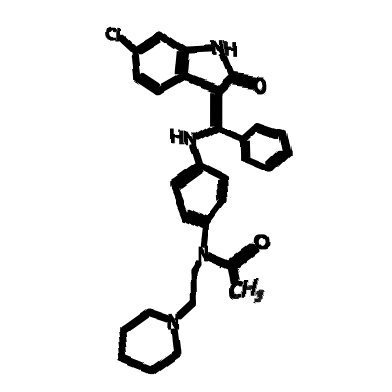 CC(=O)N(CCN1CCCCC1)c1ccc(NC(=C2C(=O)Nc3cc(Cl)ccc32)c2ccccc2)cc1